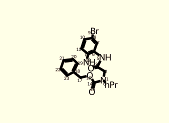 CCCN(CC(=O)Nc1cc(Br)ccc1N)C(=O)OCc1ccccc1